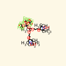 CC(COCCCOC1CC(C)(C)N(O)C(C)(C)C1)(COCCCOC1CC(C)(C)N(O)C(C)(C)C1)OCC(COC(C(F)(F)F)(C(F)(F)F)C(F)(F)F)(COC(C(F)(F)F)(C(F)(F)F)C(F)(F)F)COC(C(F)(F)F)(C(F)(F)F)C(F)(F)F